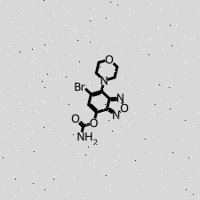 NC(=O)Oc1cc(Br)c(N2CCOCC2)c2nonc12